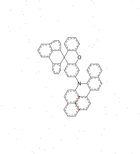 c1ccc(-c2ccc3ccccc3c2N(c2ccc3c(c2)Oc2ccccc2C32c3ccccc3-c3cccc4cccc2c34)c2ccc3ccccc3c2)cc1